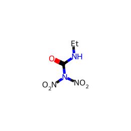 CCNC(=O)N([N+](=O)[O-])[N+](=O)[O-]